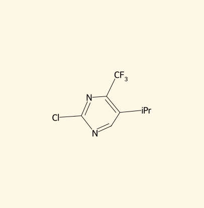 CC(C)c1cnc(Cl)nc1C(F)(F)F